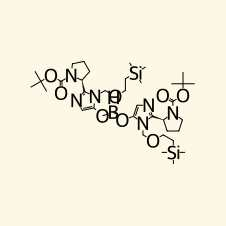 CC(C)(C)OC(=O)N1CCC[C@H]1c1ncc(OBOc2cnc([C@@H]3CCCN3C(=O)OC(C)(C)C)n2COCC[Si](C)(C)C)n1COCC[Si](C)(C)C